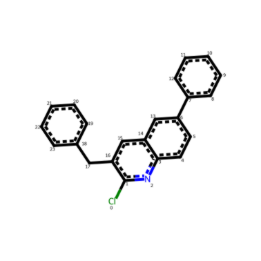 Clc1nc2ccc(-c3ccccc3)cc2cc1Cc1ccccc1